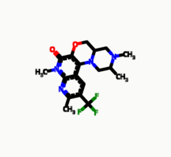 Cc1nc2c(cc1C(F)(F)F)c1c(c(=O)n2C)OCC2CN(C)C(C)CN12